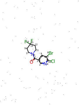 O=C(c1cnc(Cl)c(Br)c1)N1CCC(F)(F)CC1